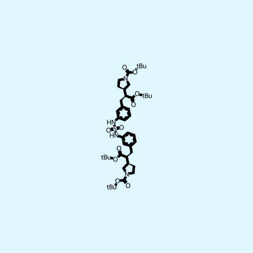 CC(C)(C)OC(=O)[C@@H](Cc1cccc(NS(=O)(=O)Nc2cccc(C[C@H](C(=O)OC(C)(C)C)[C@H]3CCN(C(=O)OC(C)(C)C)C3)c2)c1)[C@H]1CCN(C(=O)OC(C)(C)C)C1